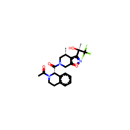 CC(=O)N1CCc2ccccc2[C@H]1C(=O)N1Cc2onc([C@@](C)(O)C(F)(F)F)c2[C@@H](C)C1